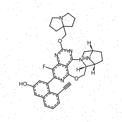 C#Cc1cccc2cc(O)cc(-c3nc4c5c(nc(OCC67CCCN6CCC7)nc5c3F)N3C[C@@H]5CC[C@@H](N5)[C@@H]3CO4)c12